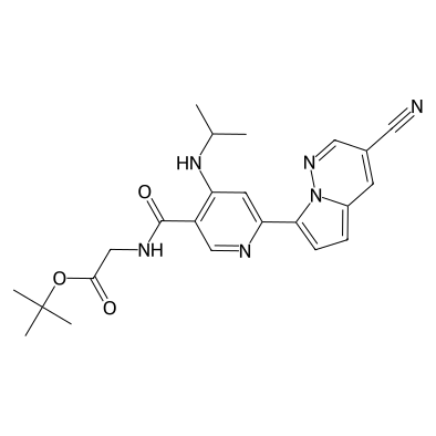 CC(C)Nc1cc(-c2ccc3cc(C#N)cnn23)ncc1C(=O)NCC(=O)OC(C)(C)C